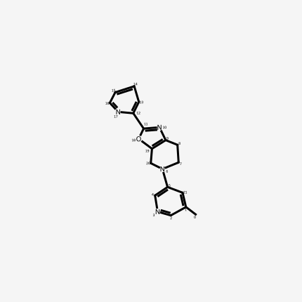 Cc1cncc(N2CCc3nc(-c4ccccn4)oc3C2)c1